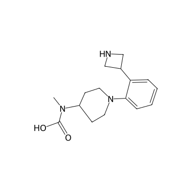 CN(C(=O)O)C1CCN(c2ccccc2C2CNC2)CC1